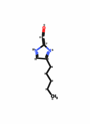 CCCCCC1=NC(=C=O)N=C1